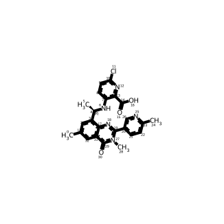 Cc1cc([C@@H](C)Nc2ccc(Cl)nc2C(=O)O)c2nc(-c3ccc(C)nc3)n(C)c(=O)c2c1